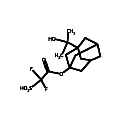 CC(C)(O)C12CC3CC(CC(OC(=O)C(F)(F)S(=O)(=O)O)(C3)C1)C2